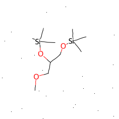 COCC(CO[Si](C)(C)C)O[Si](C)(C)C